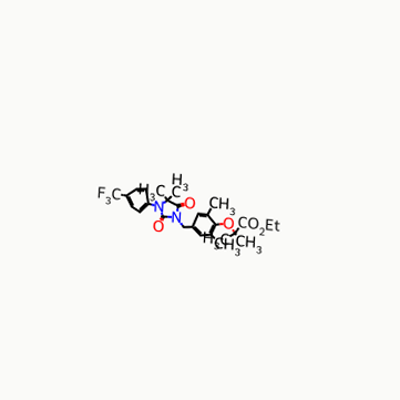 CCOC(=O)C(C)(C)Oc1c(C)cc(CN2C(=O)N(c3ccc(C(F)(F)F)cc3)C(C)(C)C2=O)cc1C